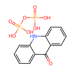 O=P(O)(O)OP(=O)(O)O.O=c1c2ccccc2[nH]c2ccccc12